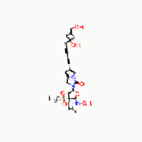 C[C@@](CCN1Cc2cc(C#CC#CCC3(O)CC(CO)C3)cn2C1=O)(C(=O)NO)S(C)(=O)=O